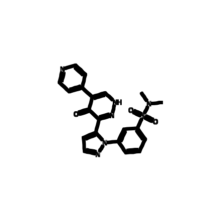 CN(C)S(=O)(=O)c1cccc(-n2nccc2-c2n[nH]cc(-c3ccncc3)c2=O)c1